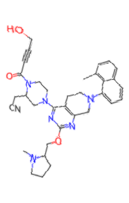 Cc1cccc2cccc(N3CCc4c(nc(OCC5CCCN5C)nc4N4CCN(C(=O)C#CCO)C(CC#N)C4)C3)c12